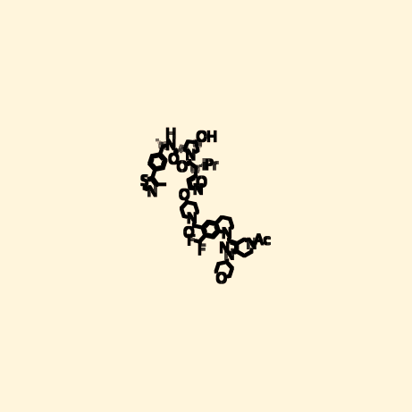 CC(=O)N1CCc2c(c(N3CCCc4cc(C(=O)N5CCC(Oc6cc([C@H](C(=O)N7C[C@H](O)C[C@H]7C(=O)N[C@@H](C)c7ccc(-c8scnc8C)cc7)C(C)C)on6)CC5)c(C(F)F)cc43)nn2C2CCOCC2)C1